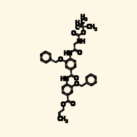 C=CCOC(=O)c1ccc(NC(=O)c2ccc(NC(=O)CNC(=O)OC(C)(C)C)c(OCc3ccccc3)c2)c(OCc2ccccc2)c1